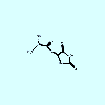 CC[C@@H](C)[C@@H](N)C(=O)OC1NC(=O)NC1=O